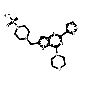 CS(=O)(=O)N1CCN(Cc2cc3nc(-c4cc[nH]n4)nc(N4CCOCC4)c3s2)CC1